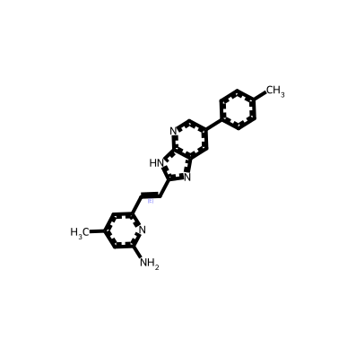 Cc1ccc(-c2cnc3[nH]c(/C=C/c4cc(C)cc(N)n4)nc3c2)cc1